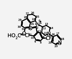 C[N+](C(=O)c1cc(C(F)(F)F)ccc1Cl)(C1CCN(c2ccncc2)CC1)C1CCCc2ccc(OC(=O)O)cc21